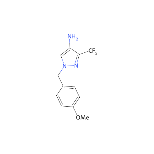 COc1ccc(Cn2cc(N)c(C(F)(F)F)n2)cc1